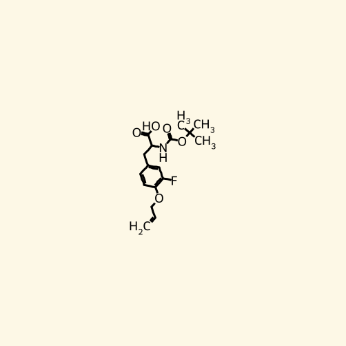 C=CCOc1ccc(CC(NC(=O)OC(C)(C)C)C(=O)O)cc1F